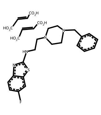 Fc1ccc2nc(NCCN3CCN(Cc4ccccc4)CC3)sc2c1.O=C(O)C=CC(=O)O.O=C(O)C=CC(=O)O